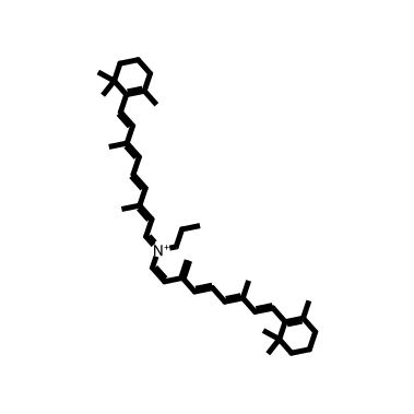 C=C(\C=C/[N+](=C/C=C(C)/C=C/C=C(C)/C=C/C1=C(C)CCCC1(C)C)CCC)/C=C/C=C(C)/C=C/C1=C(C)CCCC1(C)C